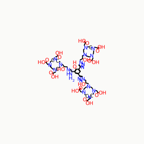 N/C(=C\NCC(O)CN1CCN(CC(=O)O)CCN(CC(=O)O)CCN(CC(=O)O)CC1)c1cc(-c2cn(CC(O)CN3CCN(CC(=O)O)CCN(CC(=O)O)CCN(CC(=O)O)CC3)nn2)cc(-c2cn(CC(O)CN3CCN(CC(=O)O)CCN(CC(=O)O)CCN(CC(=O)O)CC3)nn2)c1O